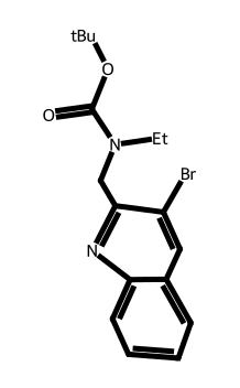 CCN(Cc1nc2ccccc2cc1Br)C(=O)OC(C)(C)C